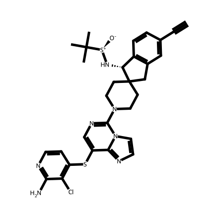 C#Cc1ccc2c(c1)CC1(CCN(c3ncc(Sc4ccnc(N)c4Cl)c4nccn34)CC1)[C@@H]2N[S@+]([O-])C(C)(C)C